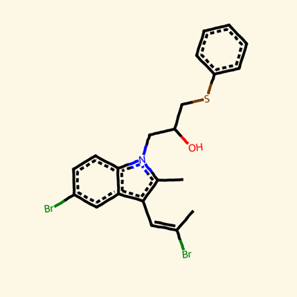 C/C(Br)=C\c1c(C)n(CC(O)CSc2ccccc2)c2ccc(Br)cc12